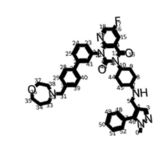 Cn1ncc(CNC2CCC(n3c(=O)c4cc(F)cnc4n(-c4cccc(-c5ccc(CN6CCCOCC6)cc5)c4)c3=O)CC2)c1-c1ccccc1